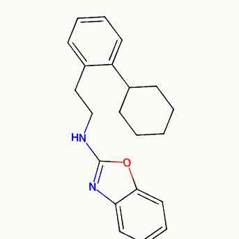 c1ccc(C2CCCCC2)c(CCNc2nc3ccccc3o2)c1